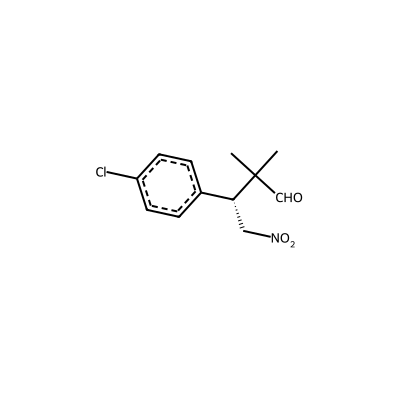 CC(C)(C=O)[C@H](C[N+](=O)[O-])c1ccc(Cl)cc1